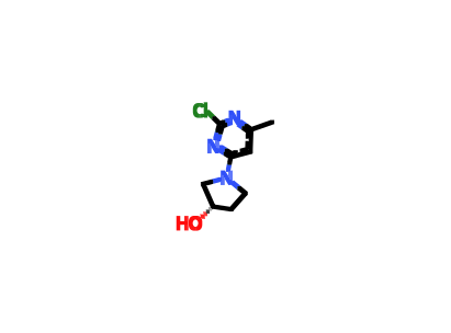 Cc1cc(N2CC[C@H](O)C2)nc(Cl)n1